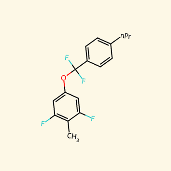 CCCc1ccc(C(F)(F)Oc2cc(F)c(C)c(F)c2)cc1